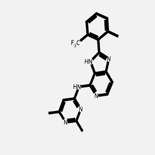 Cc1cc(Nc2nccc3nc(-c4c(C)cccc4C(F)(F)F)[nH]c23)nc(C)n1